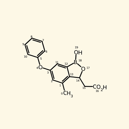 Cc1cc(Oc2ccccc2)cc2c1C(CC(=O)O)OB2O